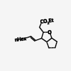 CCCCCCC=CC1C(CC(=O)OCC)OC2CCCC21